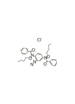 CCCCON(C(=O)c1ccccc1)c1ccc(N(OCCCC)C(=O)c2ccccc2)c([N+]#N)c1.[Cl-]